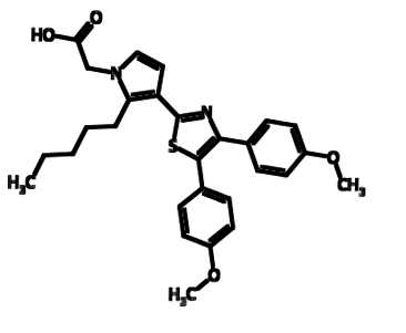 CCCCCc1c(-c2nc(-c3ccc(OC)cc3)c(-c3ccc(OC)cc3)s2)ccn1CC(=O)O